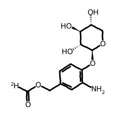 [2H]C(=O)OCc1ccc(O[C@@H]2OC[C@@H](O)[C@H](O)[C@H]2O)c(N)c1